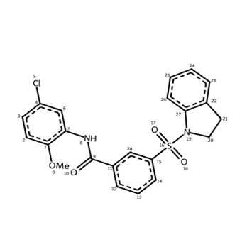 COc1ccc(Cl)cc1NC(=O)c1cccc(S(=O)(=O)N2CCc3ccccc32)c1